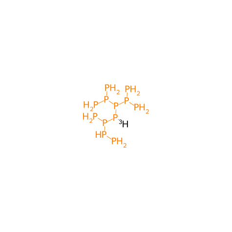 [3H]P(P(P)PP)P(P(P)P)P(P)P